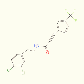 O=C(C#Cc1ccc(C(F)(F)F)cc1)NCCc1ccc(Cl)c(Cl)c1